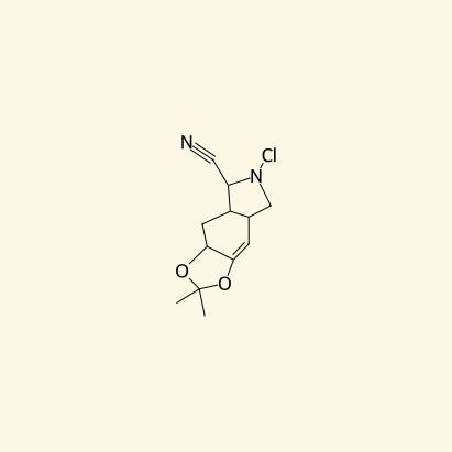 CC1(C)OC2=CC3CN(Cl)C(C#N)C3CC2O1